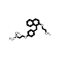 CCCOc1ccc2ccccc2c1Cc1ccc(OCCN(C)C)cc1